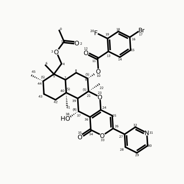 CC(=O)OCC1(C)C2C[C@H](OC(=O)c3ccc(Br)cc3F)[C@@]3(C)Oc4cc(-c5cccnc5)oc(=O)c4[C@H](O)C3[C@@]2(C)CC[C@@H]1C